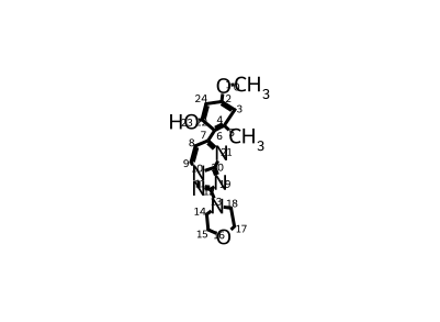 COc1cc(C)c(-c2ccn3nc(N4CCOCC4)nc3n2)c(O)c1